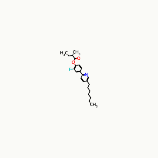 CCCCCCCc1ccc(-c2ccc(OC(=O)C(C)CC)c(F)c2)nc1